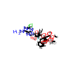 CCOC(=O)C(Cc1ccccc1)(OC1[C@H]2O[C@@H](n3cnc4c(N)nc(Cl)nc43)[C@H](O)[C@@]12F)C(=O)OCC